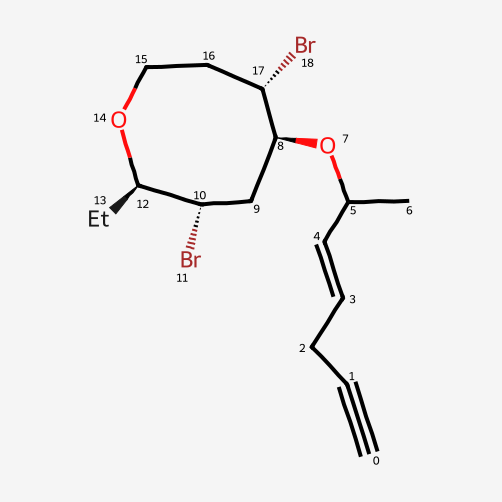 C#CC/C=C/C(C)O[C@H]1C[C@H](Br)[C@@H](CC)OCC[C@@H]1Br